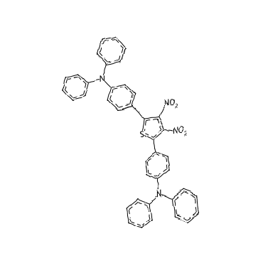 O=[N+]([O-])c1c(-c2ccc(N(c3ccccc3)c3ccccc3)cc2)sc(-c2ccc(N(c3ccccc3)c3ccccc3)cc2)c1[N+](=O)[O-]